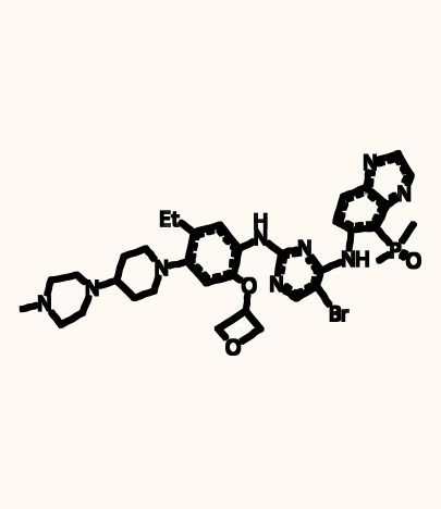 CCc1cc(Nc2ncc(Br)c(Nc3ccc4nccnc4c3P(C)(C)=O)n2)c(OC2COC2)cc1N1CCC(N2CCN(C)CC2)CC1